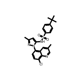 Cc1cnc2c(Cl)ccc(-n3nc(C)cc3NS(=O)(=O)c3ccc(C(C)(C)C)cc3)c2c1